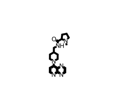 CN1CCCC1C(=O)NCC1CCN(c2ccnc3nccnc23)CC1